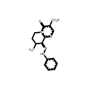 CCOC(=O)c1cnc2n(c1=O)CCC(C)C2=NNc1ccccc1